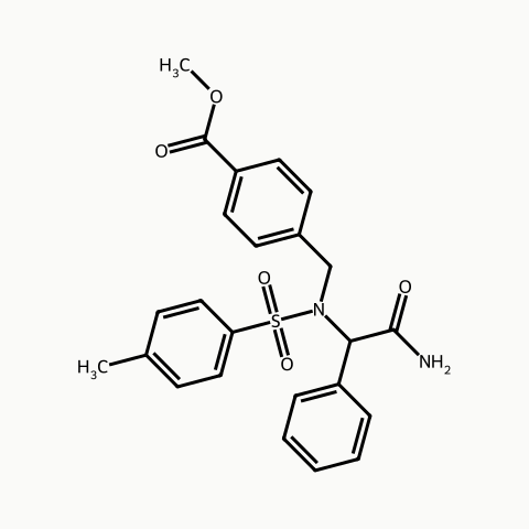 COC(=O)c1ccc(CN(C(C(N)=O)c2ccccc2)S(=O)(=O)c2ccc(C)cc2)cc1